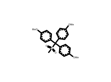 COc1ccc(C(c2ccc(OC)cc2)(c2ccc(OC)cc2)S(C)(=O)=O)cc1